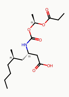 CCCC[C@@H](C)C[C@@H](CC(=O)O)NC(=O)O[C@@H](C)OC(=O)CC